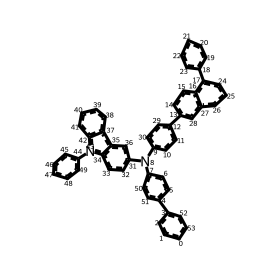 c1ccc(-c2ccc(N(c3ccc(-c4ccc5c(-c6ccccc6)cccc5c4)cc3)c3ccc4c(c3)c3ccccc3n4-c3ccccc3)cc2)cc1